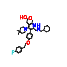 Cc1nc(CNCC2CCCCC2)c(-c2ccc(OCCc3ccc(F)cc3)cc2)c(N2CCC(C)(C)CC2)c1CC(=O)O